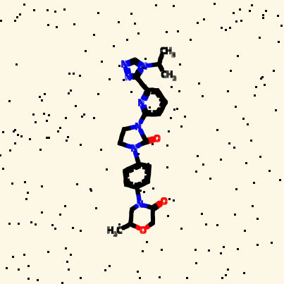 CC1CN(c2ccc(N3CCN(c4cccc(-c5nncn5C(C)C)n4)C3=O)cc2)C(=O)CO1